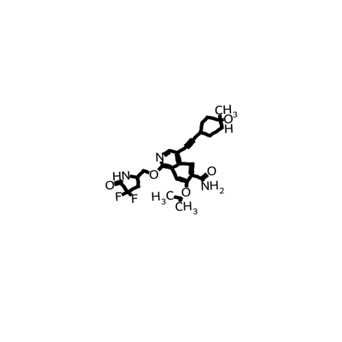 CC(C)Oc1cc2c(OCC3CC(F)(F)C(=O)N3)ncc(C#CC3CCC(C)(O)CC3)c2cc1C(N)=O